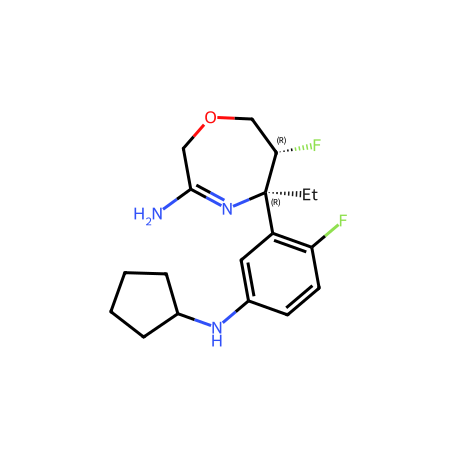 CC[C@]1(c2cc(NC3CCCC3)ccc2F)N=C(N)COC[C@@H]1F